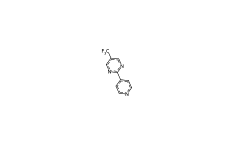 FC(F)(F)c1cnc(-c2ccncc2)nc1